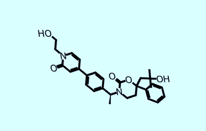 C[C@@H](c1ccc(-c2ccn(CCO)c(=O)c2)cc1)N1CCC(CC(C)(C)O)(c2ccccc2)OC1=O